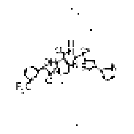 O=C([C@H](O)c1cccc(C(F)(F)F)c1)N1CCc2nc(C3(c4cc(-c5cccnc5)cs4)CC3)[nH]c(=O)c2C1